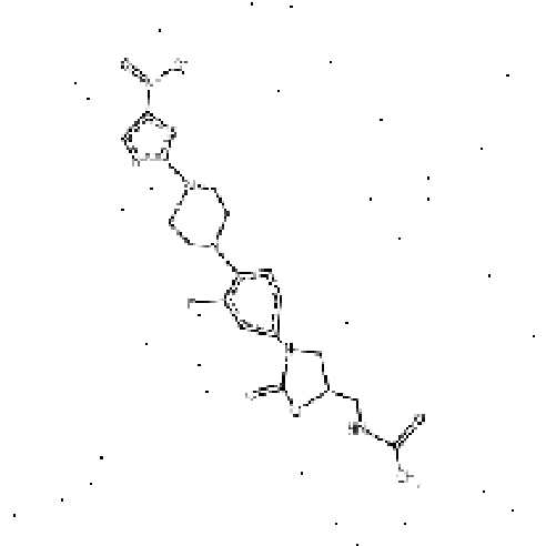 CC(=O)NCC1CN(c2ccc(N3CCN(c4ncc([N+](=O)[O-])s4)CC3)c(F)c2)C(=O)O1